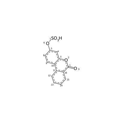 O=c1oc2cc(OS(=O)(=O)O)ccc2c2ccccc12